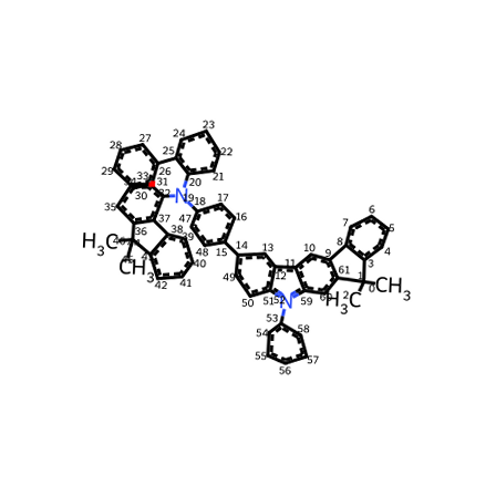 CC1(C)c2ccccc2-c2cc3c4cc(-c5ccc(N(c6ccccc6-c6ccccc6)c6cccc7c6-c6ccccc6C7(C)C)cc5)ccc4n(-c4ccccc4)c3cc21